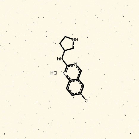 Cl.Clc1ccc2nc(NC3CCNC3)ncc2c1